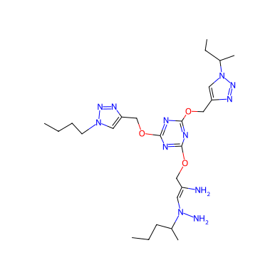 CCCCn1cc(COc2nc(OC/C(N)=C/N(N)C(C)CCC)nc(OCc3cn(C(C)CC)nn3)n2)nn1